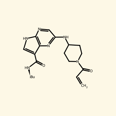 C=CC(=O)N1CCC(Nc2cnc3[nH]cc(C(=O)N[C@H](C)CC)c3n2)CC1